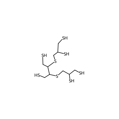 SCC(S)CSC(CS)C(CS)SCC(S)CS